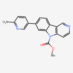 CC(C)(C)OC(=O)n1c2ccncc2c2ccc(-c3ccc([N+](=O)[O-])nc3)cc21